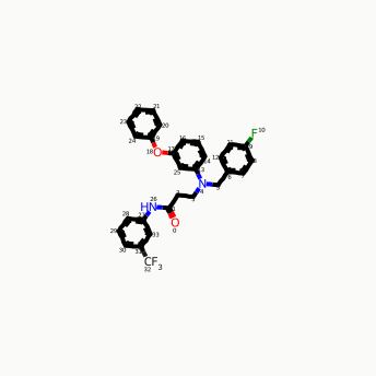 O=C(CCN(Cc1ccc(F)cc1)c1cccc(Oc2ccccc2)c1)Nc1cccc(C(F)(F)F)c1